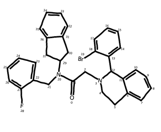 O=C(CN1CCc2ccccc2C1c1ccccc1Br)N(Cc1ccccc1F)C1Cc2ccccc2C1